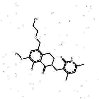 Cc1cc(C)c(CN2CCc3c(COCCO)cc(OC(C)C)c(Cl)c3C2=O)c(=O)[nH]1